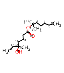 CCCCCC(C)(C)OC(=O)CCCC(C)(O)CC